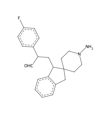 NN1CCC2(CC1)Cc1ccccc1C2CC(C=O)c1ccc(F)cc1